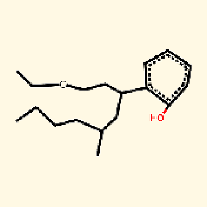 CCCCCC(CC(C)CCCC)c1ccccc1O